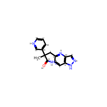 CC(Cc1ccc2[nH]ncc2n1)(C(N)=O)c1cccnc1